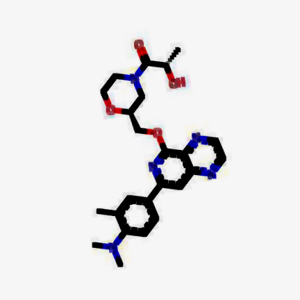 Cc1cc(-c2cc3nccnc3c(OC[C@@H]3CN(C(=O)[C@H](C)O)CCO3)n2)ccc1N(C)C